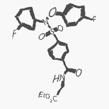 CCOC(=O)CNC(=O)c1ccc(S(=O)(=O)N(Oc2ccc(F)cc2)c2cccc(F)c2)cc1